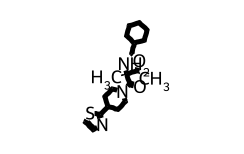 C[C@@H](OCC1CCCCC1)[C@](C)(N)C(=O)N1CCC(c2nccs2)CC1